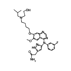 COc1cc2c(N(c3cccc(F)c3)c3cc(CC(N)=O)[nH]n3)ncnc2cc1OCCCCN(CCO)CC(C)C